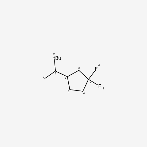 CC(C1CCC(F)(F)C1)C(C)(C)C